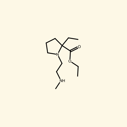 CCOC(=O)C1(CC)CCCN1CCNC